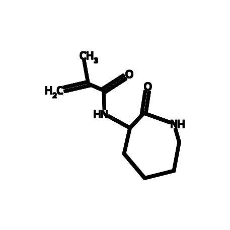 C=C(C)C(=O)NC1CCCCNC1=O